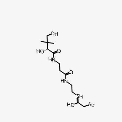 CC(=O)CC(O)=[SH]CCNC(=O)CCNC(=O)[C@H](O)C(C)(C)CO